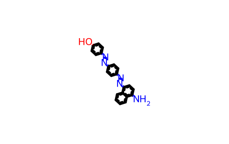 Nc1ccc(N=Nc2ccc(N=Nc3ccc(O)cc3)cc2)c2ccccc12